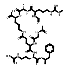 CNC(=N)NCCCC(NC=O)C(=O)N[C@@H](C)C(=O)NC(CCCNC(=O)CCC(NC(=O)CNC(C)=O)C(=O)N[C@@H](CCCNC(=N)N)C(=O)NC(C)Cc1ccccc1)C(=O)O